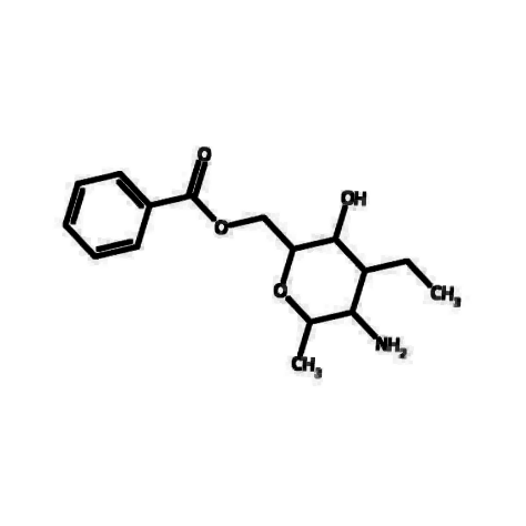 CCC1C(N)C(C)OC(COC(=O)c2ccccc2)C1O